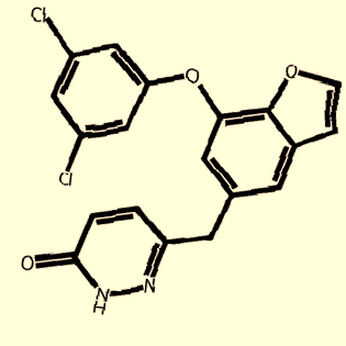 O=c1ccc(Cc2cc(Oc3cc(Cl)cc(Cl)c3)c3occc3c2)n[nH]1